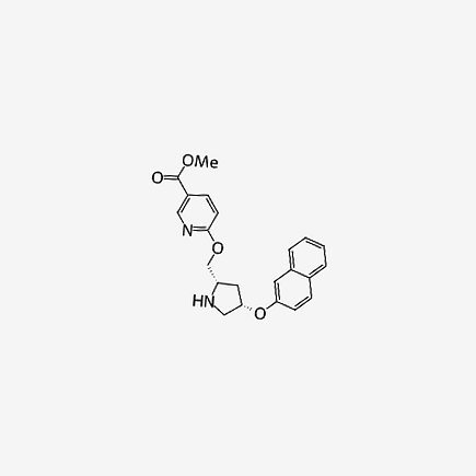 COC(=O)c1ccc(OC[C@@H]2C[C@H](Oc3ccc4ccccc4c3)CN2)nc1